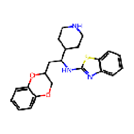 c1ccc2c(c1)OCC(CC(Nc1nc3ccccc3s1)C1CCNCC1)O2